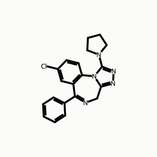 Clc1ccc2c(c1)C(c1ccccc1)=NCc1nnc(N3CCCC3)n1-2